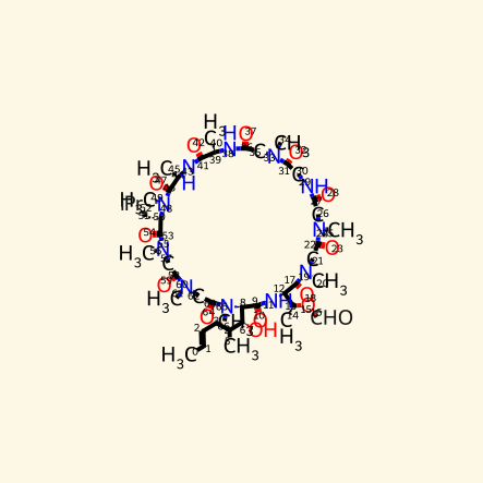 C/C=C/CC(C)[C@@H](O)[C@H]1C(=O)N[C@@H]([C@@H](C)OC=O)C(=O)N(C)CC(=O)N(C)CC(=O)NCC(=O)N(C)CC(=O)N[C@@H](C)C(=O)N[C@H](C)C(=O)N(C)[C@@H](CC(C)C)C(=O)N(C)CC(=O)N(C)CC(=O)N1C